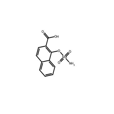 [NH2][Mo](=[O])(=[O])[O]c1c(C(=O)O)ccc2ccccc12